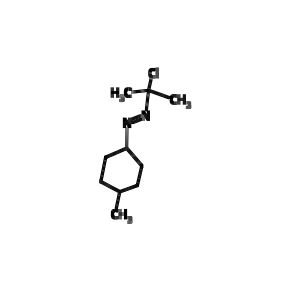 CC1CCC(N=NC(C)(C)Cl)CC1